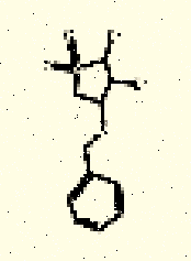 O=S1(=O)CC(NCc2ccccc2)C(Br)C1Br